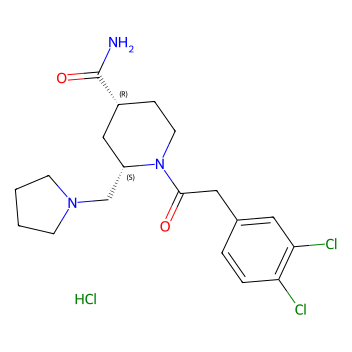 Cl.NC(=O)[C@@H]1CCN(C(=O)Cc2ccc(Cl)c(Cl)c2)[C@H](CN2CCCC2)C1